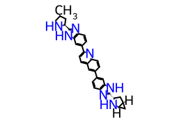 C[C@@H]1CN[C@H](c2nc3ccc(-c4ccc5cc(-c6ccc7nc([C@@H]8C[C@H]9C[C@H]9N8)[nH]c7c6)ccc5n4)cc3[nH]2)C1